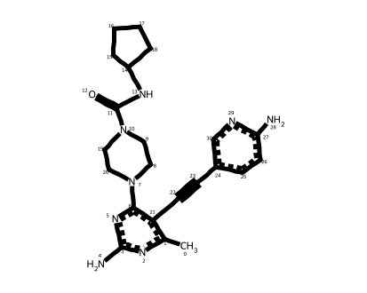 Cc1nc(N)nc(N2CCN(C(=O)NC3CCCC3)CC2)c1C#Cc1ccc(N)nc1